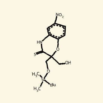 CC(C)(C)[Si](C)(C)OCC1(CO)Oc2ccc([N+](=O)[O-])cc2NC1=S